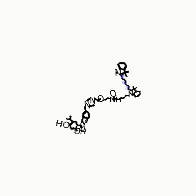 CC(C)c1cc(C(=O)N2Cc3ccc(CN4CCN(CCOCCNC(=O)CCCCC[N+]5=C(/C=C/C=C/C=C6/N(C)c7ccccc7C6(C)C)C(C)(C)c6ccccc65)CC4)cc3C2)c(O)cc1O